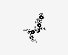 COC(=O)c1cc(Nc2nccc(N(C)c3ccc(NC(=O)Nc4cc(F)cc(C(F)(F)F)c4)cc3)n2)ccc1CN1CCN(C)CC1